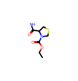 CCOC(=O)N1CSCC1C([NH])=O